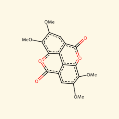 COc1cc2c(=O)oc3c(OC)c(OC)cc4c(=O)oc(c1OC)c2c34